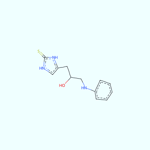 OC(CNc1ccccc1)Cc1c[nH]c(=S)[nH]1